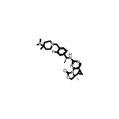 C[C@H](Nc1nccc(N2C(=O)OC[C@]2(C)C2CC2)n1)c1ccc(CN2CCC(C)(N(C)C)CC2)c(F)c1